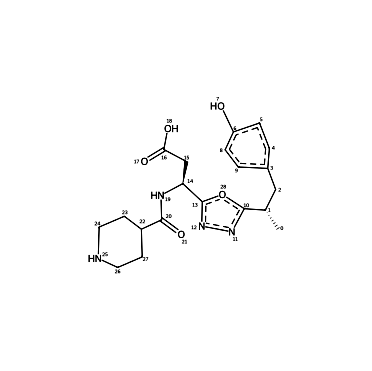 C[C@@H](Cc1ccc(O)cc1)c1nnc([C@H](CC(=O)O)NC(=O)C2CCNCC2)o1